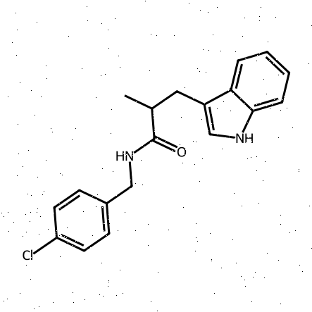 CC(Cc1c[nH]c2ccccc12)C(=O)NCc1ccc(Cl)cc1